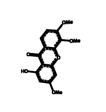 COc1cc(O)c2c(=O)c3ccc(OC)c(OC)c3oc2c1